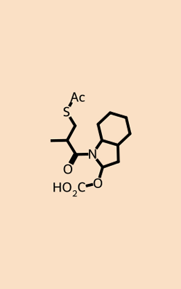 CC(=O)SCC(C)C(=O)N1C(OC(=O)O)CC2CCCCC21